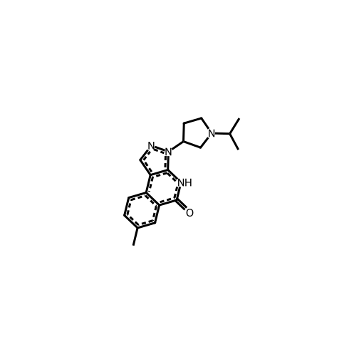 Cc1ccc2c(c1)c(=O)[nH]c1c2cnn1C1CCN(C(C)C)C1